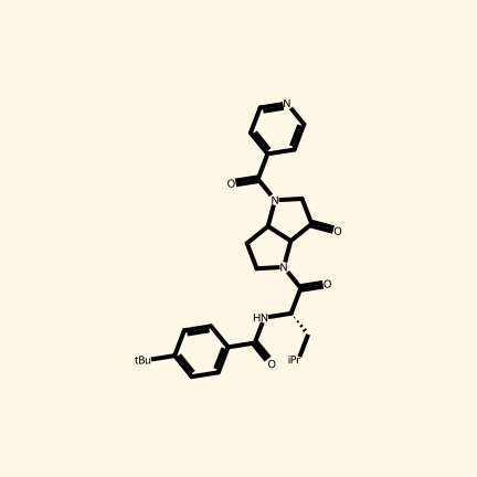 CC(C)C[C@H](NC(=O)c1ccc(C(C)(C)C)cc1)C(=O)N1CCC2C1C(=O)CN2C(=O)c1ccncc1